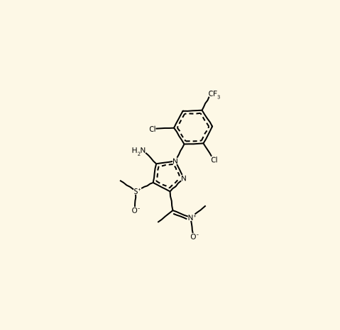 C/C(c1nn(-c2c(Cl)cc(C(F)(F)F)cc2Cl)c(N)c1[S+](C)[O-])=[N+](/C)[O-]